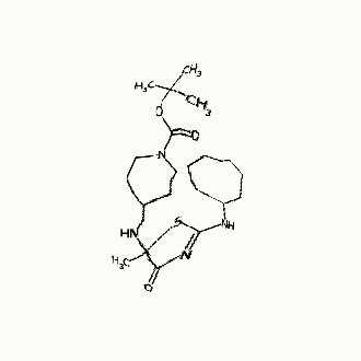 CC(C)(C)OC(=O)N1CCC(NC2(C)SC(NC3CCCCCC3)=NC2=O)CC1